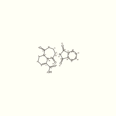 O=C(O)C1=CCCN2C(=O)CC[C@H](N3C(=O)c4ccccc4C3=O)C(=O)N12